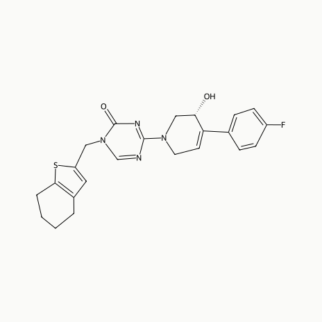 O=c1nc(N2CC=C(c3ccc(F)cc3)[C@@H](O)C2)ncn1Cc1cc2c(s1)CCCC2